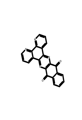 O=C1c2ccccc2C(=O)c2nc3c4cccnc4c4ncccc4c3nc21